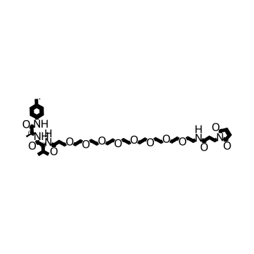 [CH2]c1ccc(NC(=O)[C@H](C)NC(=O)[C@@H](NC(=O)CCOCCOCCOCCOCCOCCOCCOCCOCCNC(=O)CCN2C(=O)C=CC2=O)C(C)C)cc1